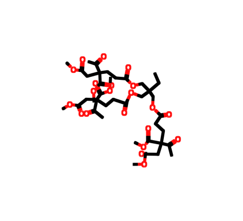 CCC(COC(=O)CCC(CC(=O)OC)(C(C)=O)C(=O)OC)(COC(=O)CCC(CC(=O)OC)(C(C)=O)C(=O)OC)COC(=O)CCC(CC(=O)OC)(C(C)=O)C(=O)OC